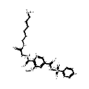 CCCCCCCCCCCCCCCCOC(=O)CNC(=O)c1ncc(C(=O)NS(=O)(=O)c2ccccc2)cc1OC